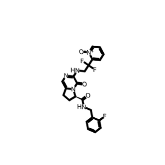 O=C(NCc1ccccc1F)[C@H]1CCc2cnc(NCC(F)(F)c3cccc[n+]3[O-])c(=O)n21